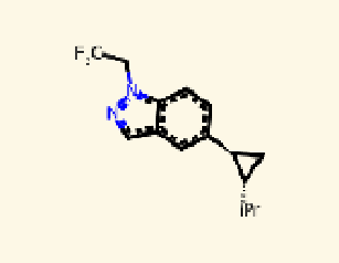 CC(C)[C@H]1C[C@@H]1c1ccc2c(cnn2CC(F)(F)F)c1